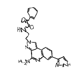 Nc1nc2cc(-c3cc[nH]n3)ccc2c2cn(CCNS(=O)(=O)c3ccccc3)nc12